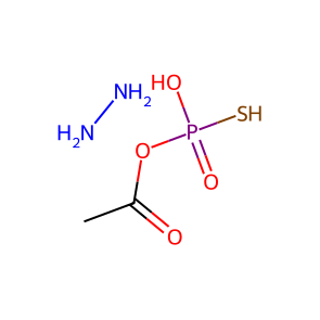 CC(=O)OP(=O)(O)S.NN